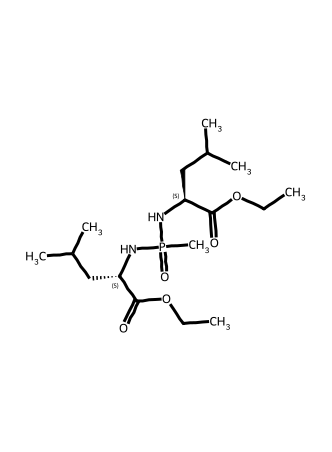 CCOC(=O)[C@H](CC(C)C)NP(C)(=O)N[C@@H](CC(C)C)C(=O)OCC